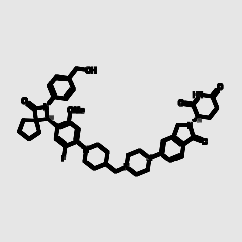 COc1cc(N2CCC(CN3CCN(c4ccc5c(c4)CN([C@H]4CCC(=O)NC4=O)C5=O)CC3)CC2)c(F)cc1[C@@H]1N(c2ccc(CO)cc2)C(=O)C12CCCC2